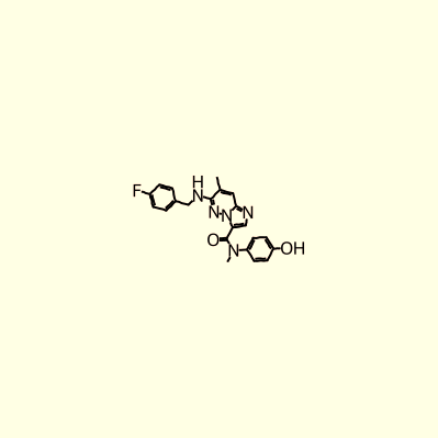 Cc1cc2ncc(C(=O)N(C)c3ccc(O)cc3)n2nc1NCc1ccc(F)cc1